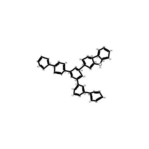 c1ccc(-c2ccc(-c3cc(-c4cccc(-c5ccccc5)c4)cc(-c4ccc5c(c4)oc4ccccc45)c3)cc2)cc1